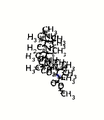 C=C(N(CC)C(CC)(CC)C(=O)NC(C(=O)N(C)C(/C=C(\C)C(=O)OCC)C(C)C)C(C)(C)C)C(CC)(CC)NCC